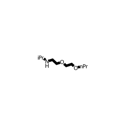 [CH2]CCOCCOCCNC(C)C